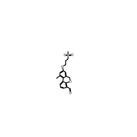 Cc1cc(OCCCS(C)(=O)=O)cc2c1-c1cccc(C=O)c1OC2